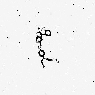 CC#C[C@@H](CC#N)c1ccc(OCc2cc3c(-c4ccccc4C)csc3cn2)cc1